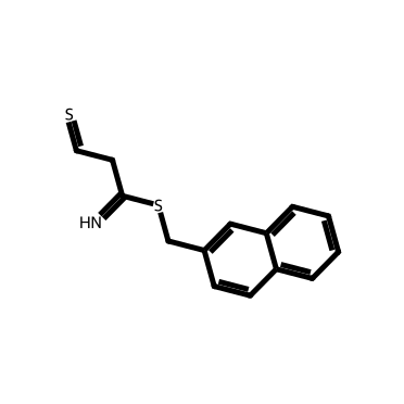 N=C(CC=S)SCc1ccc2ccccc2c1